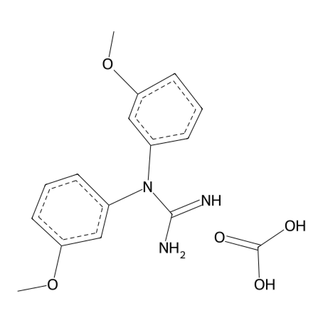 COc1cccc(N(C(=N)N)c2cccc(OC)c2)c1.O=C(O)O